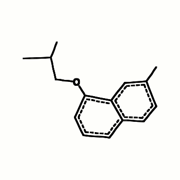 Cc1ccc2cccc(OCC(C)C)c2c1